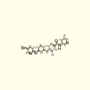 Cc1cncc(NC(=O)N2CC/C(=C\c3cccc(Oc4ccc(Br)cn4)c3)C(C)C2)c1